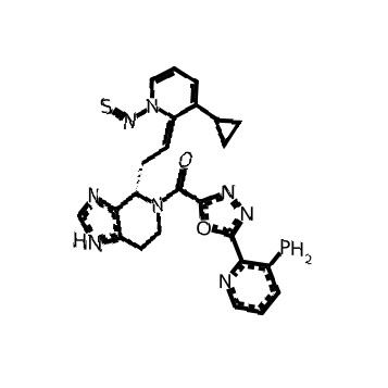 O=C(c1nnc(-c2ncccc2P)o1)N1CCc2[nH]cnc2[C@@H]1C/C=C1/C(C2CC2)=CC=CN1N=S